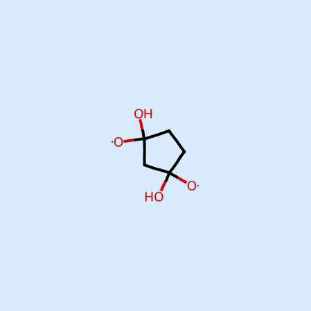 [O]C1(O)CCC([O])(O)C1